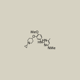 CNC1=NC(Nc2ccc(OC)c(OC3CCN(C4CC4)CC3)c2)NC(C)=C1